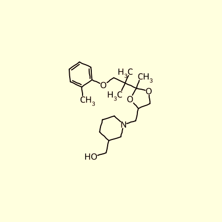 Cc1ccccc1OCC(C)(C)C1(C)OCC(CN2CCCC(CO)C2)O1